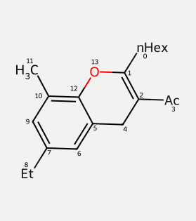 CCCCCCC1=C(C(C)=O)Cc2cc(CC)cc(C)c2O1